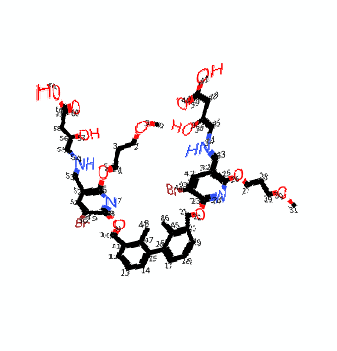 COCCCOc1nc(OCc2cccc(-c3cccc(COc4nc(OCCCOC)c(CNCC(O)CC(=O)O)cc4Br)c3C)c2C)c(Br)cc1CNCC(O)CC(=O)O